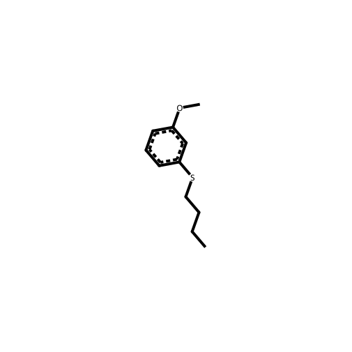 CCCCSc1cccc(OC)c1